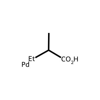 CCC(C)C(=O)O.[Pd]